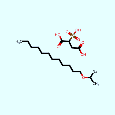 CCCCCCCCCCCCO[CH](C)[Na].O=C(O)CC(C(=O)O)S(=O)(=O)O